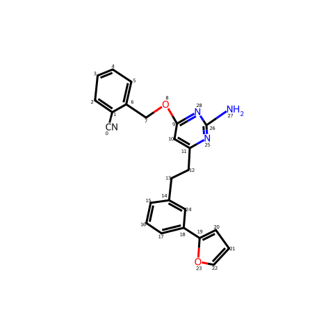 N#Cc1ccccc1COc1cc(CCc2cccc(-c3ccco3)c2)nc(N)n1